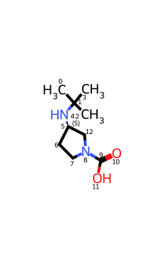 CC(C)(C)N[C@H]1CCN(C(=O)O)C1